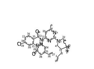 C=CCC1CN(c2nc(C)cc(NC(=O)c3ccc(Cl)cc3-n3ccc(C=C)cc3=O)n2)CCC1(F)F